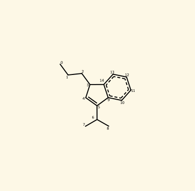 CCCC1C=C(C(C)C)c2ccccc21